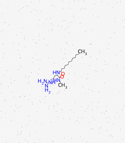 CCCCCCCCCCCC(=O)NC(CCCNC(N)N)C(=O)NCC